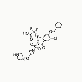 O=C(NS(=O)(=O)N1CC(O[C@@H]2CCNC2)C1)c1cc(Cl)c(OCC2CCCC2)cc1F.O=C(O)C(F)(F)F